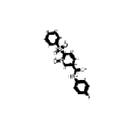 O=C(Nc1ccc(F)cc1)c1ccc(S(=O)(=O)c2ccccc2)[n+]([O-])c1